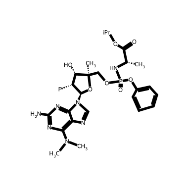 CC(C)OC(=O)[C@H](C)NP(=O)(OC[C@@]1(C)O[C@@H](n2cnc3c(N(C)C)nc(N)nc32)[C@H](F)[C@@H]1O)Oc1ccccc1